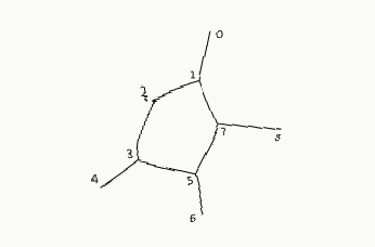 CC1[CH]C(C)C(C)C1C